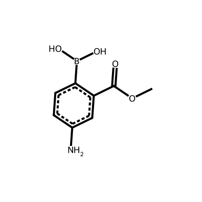 COC(=O)c1cc(N)ccc1B(O)O